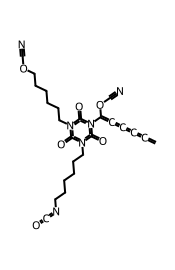 C=C=C=C=C=C(OC#N)n1c(=O)n(CCCCCCN=C=O)c(=O)n(CCCCCCOC#N)c1=O